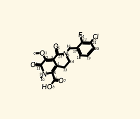 COc1c2c(c(C(=O)O)n(C)c1=O)CCN(Cc1cccc(Cl)c1F)C2=O